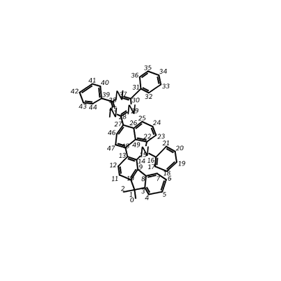 CC1(C)c2ccccc2-c2c1ccc1c2N(c2ccccc2)c2cccc3c(-c4nc(-c5ccccc5)nc(-c5ccccc5)n4)ccc-1c23